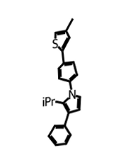 Cc1csc(-c2ccc(-n3ccc(-c4ccccc4)c3C(C)C)cc2)c1